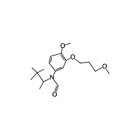 COCCCOc1cc(N(C=O)C(C)C(C)(C)C)ccc1OC